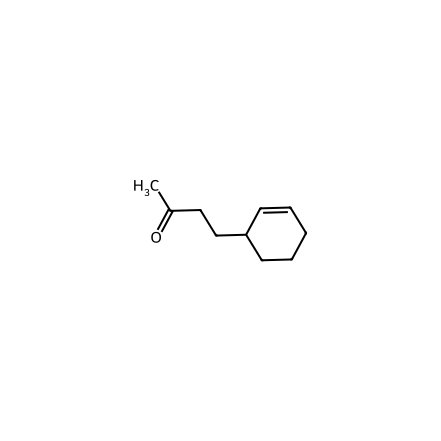 CC(=O)CCC1C=CCCC1